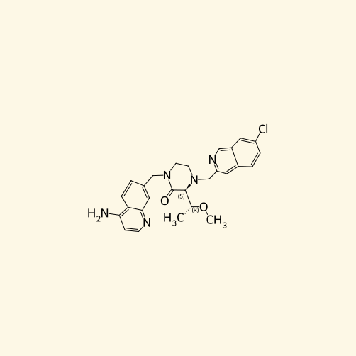 CO[C@H](C)[C@H]1C(=O)N(Cc2ccc3c(N)ccnc3c2)CCN1Cc1cc2ccc(Cl)cc2cn1